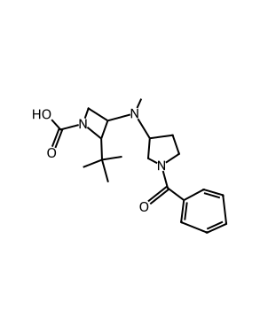 CN(C1CCN(C(=O)c2ccccc2)C1)C1CN(C(=O)O)C1C(C)(C)C